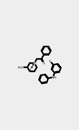 CC(=O)OC1C[N+]2(CC(=O)c3ccccc3)CCC1CC2.Fc1cccc(Nc2ccccc2)c1